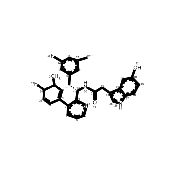 CC1C=C(c2cccnc2[C@H](Cc2cc(F)cc(F)c2)NC(=O)Cc2c[nH]c3ccc(O)cc23)C=CC1F